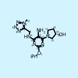 CC(C)Oc1nc(NCc2nnnn2C)c(N)c(N2CC[C@H](O)C2)n1